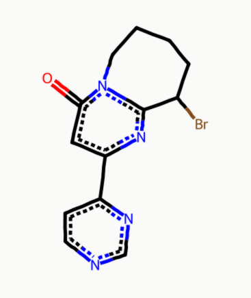 O=c1cc(-c2ccncn2)nc2n1CCCCC2Br